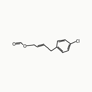 O=[C]OC/C=C/Cc1ccc(Cl)cc1